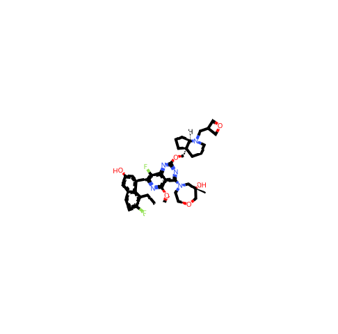 CCc1c(F)ccc2cc(O)cc(-c3nc(OC)c4c(N5CCOC[C@@](C)(O)C5)nc(OC[C@]56CCC[C@H]5N(CC5COC5)CCC6)nc4c3F)c12